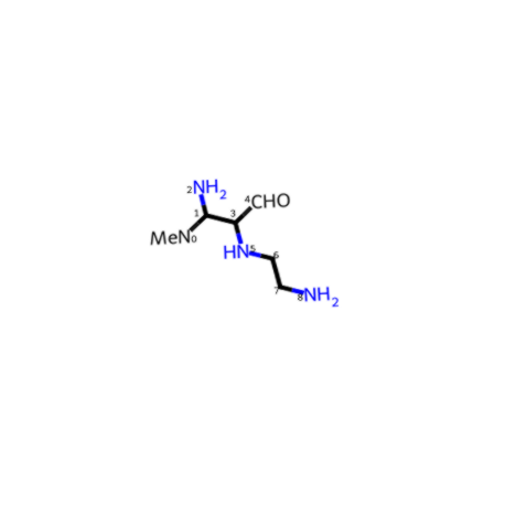 CNC(N)C(C=O)NCCN